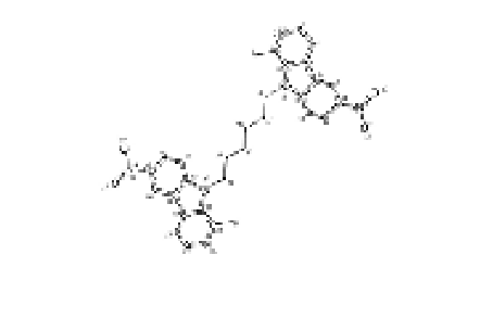 Cc1nccc2c3cc([N+](=O)[O-])ccc3n(CCCCCCn3c4ccc([N+](=O)[O-])cc4c4ccnc(C)c43)c12